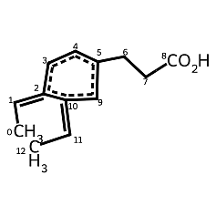 C/C=c1/ccc(CCC(=O)O)c/c1=C/C